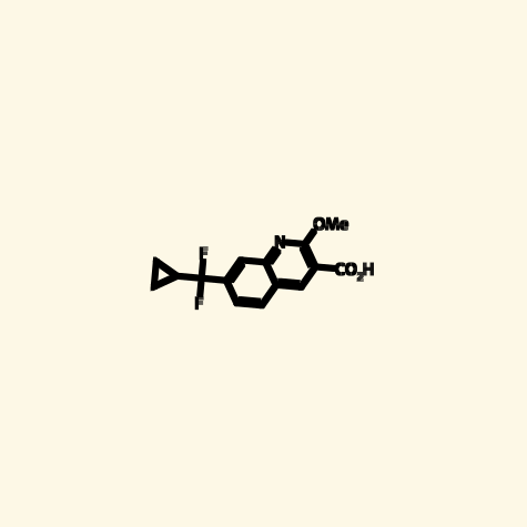 COc1nc2cc(C(F)(F)C3CC3)ccc2cc1C(=O)O